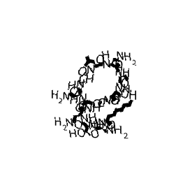 CCCCCCCC(=O)N[C@@H](CN)C(=O)N[C@H](C(=O)N[C@@H](CCN)C(=O)N[C@H]1CCNC(=O)[C@H]([C@@H](C)O)NC(=O)[C@H](CC)NC(=O)[C@H](CCN)NC(=O)[C@H](CC(C)C)NC(=O)CNC(=O)[C@H](CCN)NC1=O)[C@@H](C)O